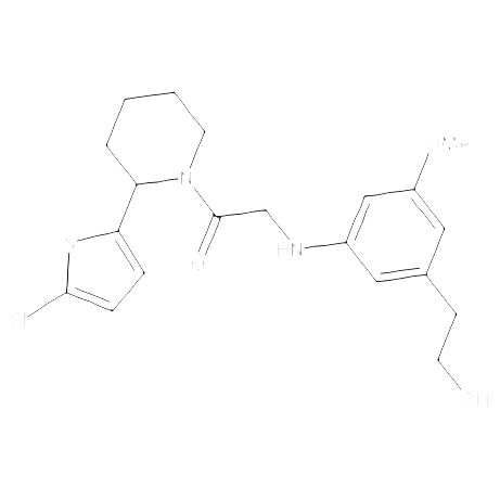 COc1cc(CCO)cc(NCC(=O)N2CCCCC2c2ccc(Cl)s2)c1